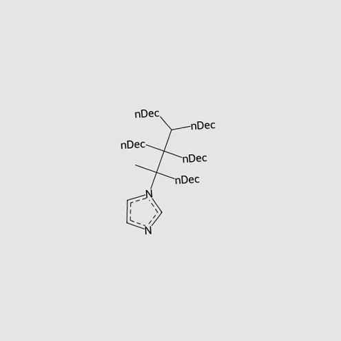 CCCCCCCCCCC(CCCCCCCCCC)C(CCCCCCCCCC)(CCCCCCCCCC)C(C)(CCCCCCCCCC)n1ccnc1